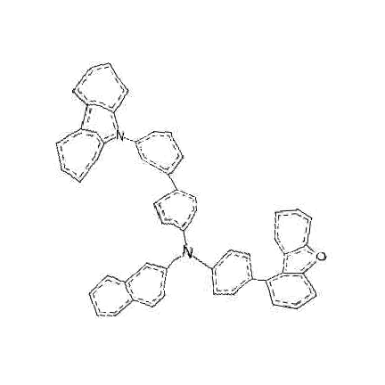 c1cc(-c2ccc(N(c3ccc(-c4cccc5oc6ccccc6c45)cc3)c3ccc4ccccc4c3)cc2)cc(-n2c3ccccc3c3ccccc32)c1